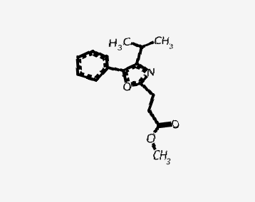 COC(=O)CCc1nc(C(C)C)c(-c2ccccc2)o1